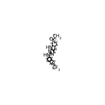 C=CC(=O)N1CCCC(Nc2nc(Nc3ccc4c(c3)CN(CC(F)(F)F)C4)ncc2F)C1